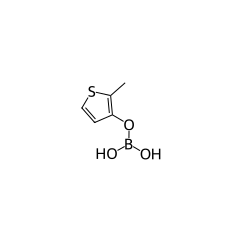 Cc1sccc1OB(O)O